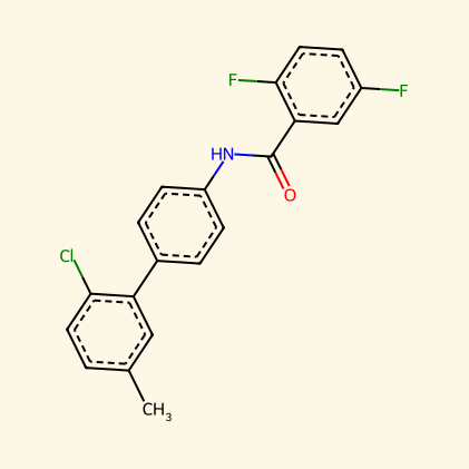 Cc1ccc(Cl)c(-c2ccc(NC(=O)c3cc(F)ccc3F)cc2)c1